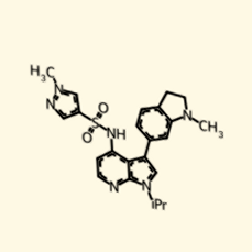 CC(C)n1cc(-c2ccc3c(c2)N(C)CC3)c2c(NS(=O)(=O)c3cnn(C)c3)ccnc21